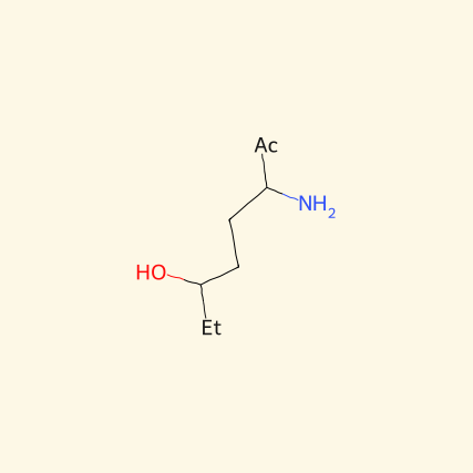 CCC(O)CCC(N)C(C)=O